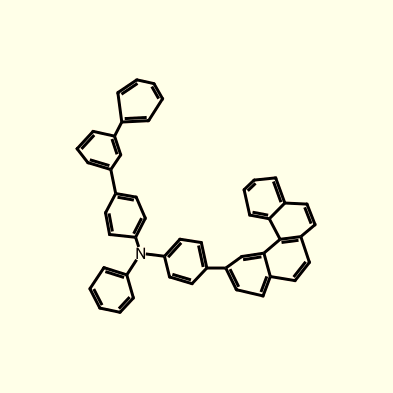 c1ccc(-c2cccc(-c3ccc(N(c4ccccc4)c4ccc(-c5ccc6ccc7ccc8ccccc8c7c6c5)cc4)cc3)c2)cc1